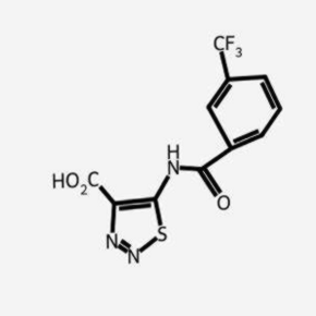 O=C(Nc1snnc1C(=O)O)c1cccc(C(F)(F)F)c1